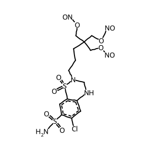 NS(=O)(=O)c1cc2c(cc1Cl)NCN(CCCC(CON=O)(CON=O)CON=O)S2(=O)=O